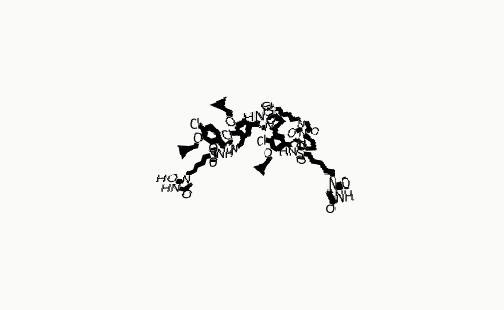 CN(Cc1cc([C@@H](CN2CCC2c2cc([C@@H](CN3CCCC3)NS(=O)(=O)CCCCCN3CC(=O)NC3=O)cc(OCC3CC3)c2Cl)NS(=O)(=O)CCCCCN2CC(=O)NC2=O)cc(OCC2CC2)c1Cl)C[C@@H](NS(=O)(=O)CCCCCN1CC(=O)NC1O)c1ccc(Cl)c(OCC2CC2)c1